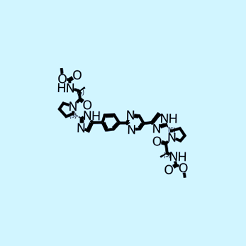 COC(=O)N[C@@H](C)C(=O)N1CCC[C@H]1c1nc(-c2cnc(-c3ccc(-c4cnc([C@@H]5CCCN5C(=O)[C@H](C)NC(=O)OC)[nH]4)cc3)nc2)c[nH]1